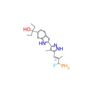 CCC(O)(CC)c1ccc2cc(-c3n[nH]c(/C=C(\C)C(F)P)c3C)[nH]c2c1